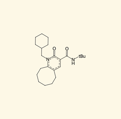 CC(C)(C)NC(=O)c1cc2c(n(CC3CCCCC3)c1=O)CCCCCC2